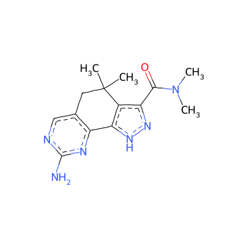 CN(C)C(=O)c1n[nH]c2c1C(C)(C)Cc1cnc(N)nc1-2